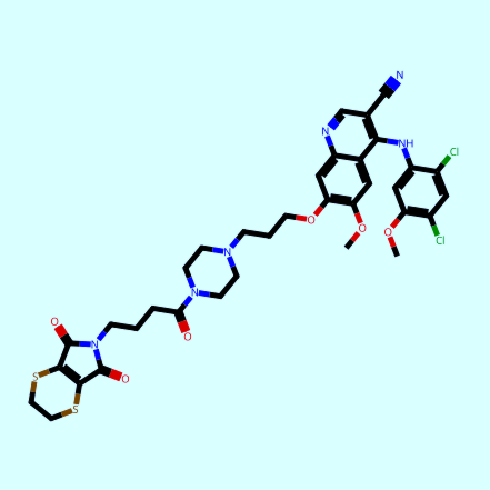 COc1cc(Nc2c(C#N)cnc3cc(OCCCN4CCN(C(=O)CCCN5C(=O)C6=C(SCCS6)C5=O)CC4)c(OC)cc23)c(Cl)cc1Cl